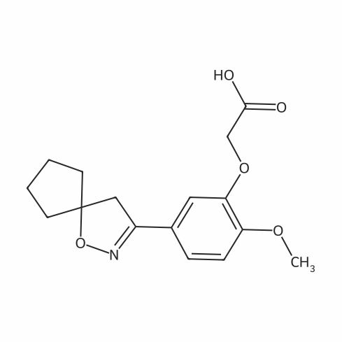 COc1ccc(C2=NOC3(CCCC3)C2)cc1OCC(=O)O